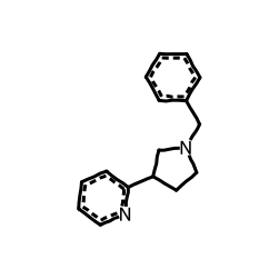 c1ccc(CN2CCC(c3ccccn3)C2)cc1